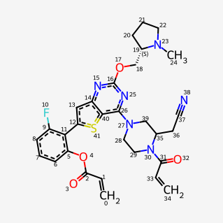 C=CC(=O)Oc1cccc(F)c1-c1cc2nc(OC[C@@H]3CCCN3C)nc(N3CCN(C(=O)C=C)C(CC#N)C3)c2s1